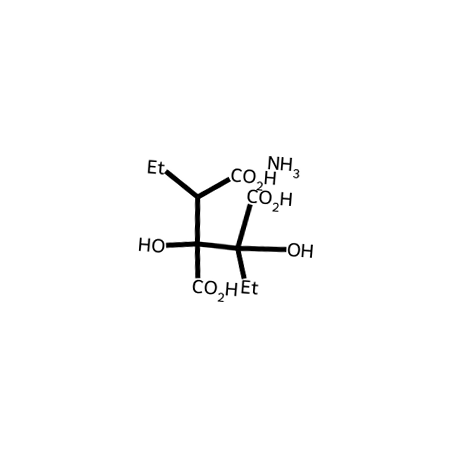 CCC(C(=O)O)C(O)(C(=O)O)C(O)(CC)C(=O)O.N